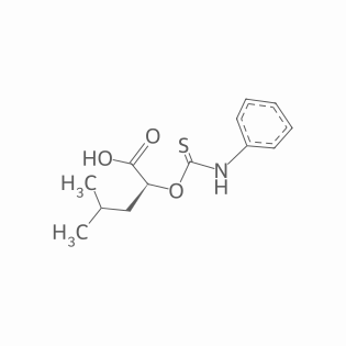 CC(C)C[C@H](OC(=S)Nc1ccccc1)C(=O)O